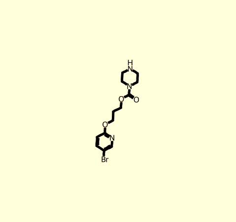 O=C(OCCCOc1ccc(Br)cn1)N1CCNCC1